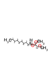 CCCCCCCCC[SiH]OC(COC)OC